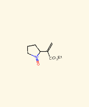 C=C(C(=O)OCC)C1CCC[N+]1=O